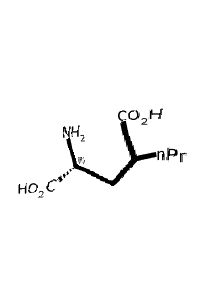 CCCC(C[C@@H](N)C(=O)O)C(=O)O